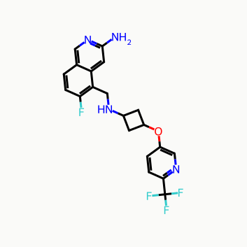 Nc1cc2c(CNC3CC(Oc4ccc(C(F)(F)F)nc4)C3)c(F)ccc2cn1